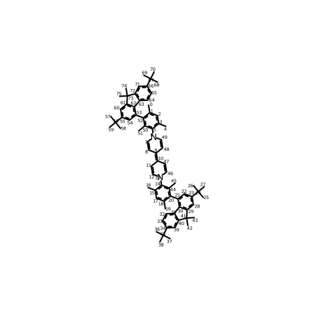 Cc1cc(C)c(N2C=CC(=C3C=CN(c4c(C)cc(C)c(-c5cc(C(C)(C)C)cc6c5-c5ccc(C(C)(C)C)cc5C6(C)C)c4C)C=C3)C=C2)c(C)c1-c1cc(C(C)(C)C)cc2c1-c1ccc(C(C)(C)C)cc1C2(C)C